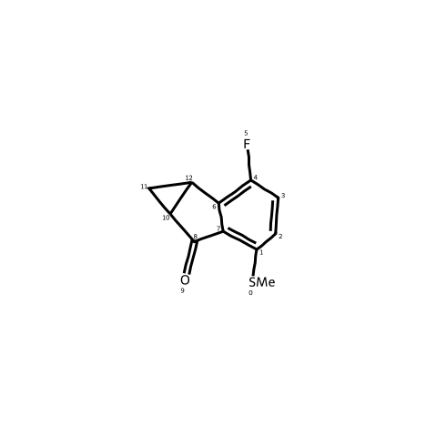 CSc1ccc(F)c2c1C(=O)C1CC21